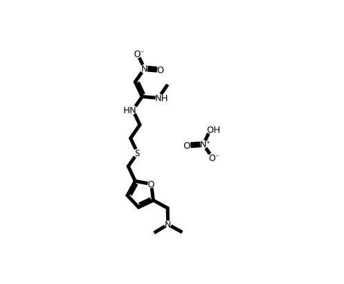 CNC(=C[N+](=O)[O-])NCCSCc1ccc(CN(C)C)o1.O=[N+]([O-])O